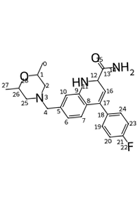 CC1CN(Cc2ccc3c(c2)NC(C(N)=O)C=C3c2ccc(F)cc2)CC(C)O1